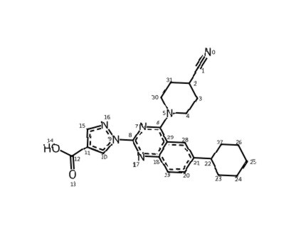 N#CC1CCN(c2nc(-n3cc(C(=O)O)cn3)nc3ccc(C4CCCCC4)cc23)CC1